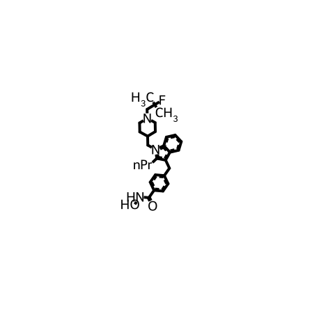 CCCc1c(Cc2ccc(C(=O)NO)cc2)c2ccccc2n1CC1CCN(CC(C)(C)F)CC1